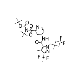 Cc1c(C(C)(F)F)nn(CC2(C)CC(F)(F)C2)c1C(=O)Nc1ccnc(S(=O)(=O)N(C(=O)OC(C)(C)C)C(C)(C)C)c1